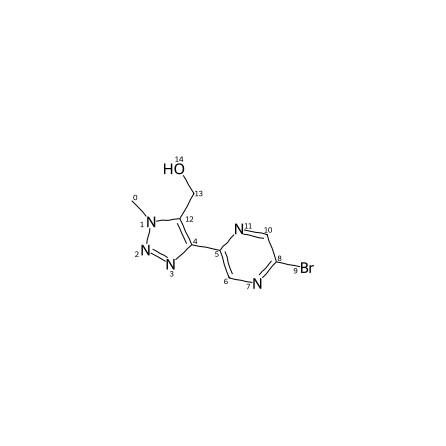 Cn1nnc(-c2cnc(Br)cn2)c1CO